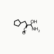 NC(O)C(=C=O)CC1CCCC1